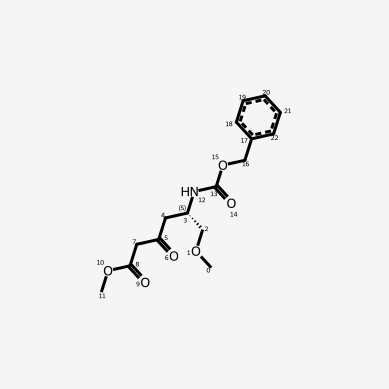 COC[C@H](CC(=O)CC(=O)OC)NC(=O)OCc1ccccc1